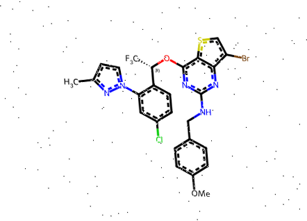 COc1ccc(CNc2nc(O[C@H](c3ccc(Cl)cc3-n3ccc(C)n3)C(F)(F)F)c3scc(Br)c3n2)cc1